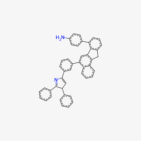 Nc1ccc(-c2cccc3c2-c2cc(-c4cccc(C5=CC(c6ccccc6)C(c6ccccc6)=N5)c4)c4ccccc4c2C3)cc1